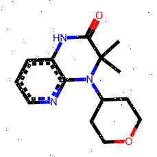 CC1(C)C(=O)Nc2cccnc2N1C1CCOCC1